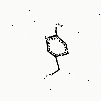 CSc1ccc(CO)cn1